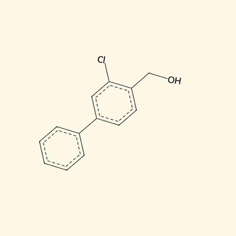 OCc1ccc(-c2ccccc2)cc1Cl